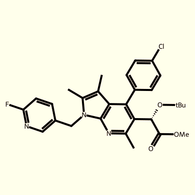 COC(=O)[C@@H](OC(C)(C)C)c1c(C)nc2c(c(C)c(C)n2Cc2ccc(F)nc2)c1-c1ccc(Cl)cc1